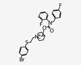 O=C(OC1C[N+]2(CCSc3ccc(Br)cc3)CCC1CC2)N(Cc1ccc(F)cc1)c1ccccc1F